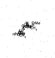 CCCOC(=O)[C@H](C)NP(=O)(Oc1ccccc1)C(F)c1ccc2sc(C(=O)NC3CCCC[C@H]4CC[C@@H](C(=O)N5C[C@H](c6cccc(OC)c6)[C@@H](C)C56CC6)N4C3=O)cc2c1